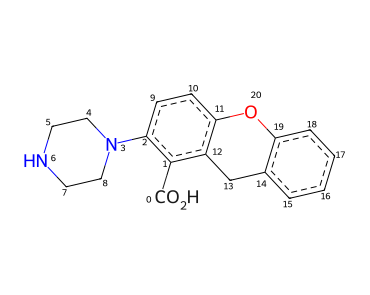 O=C(O)c1c(N2CCNCC2)ccc2c1Cc1ccccc1O2